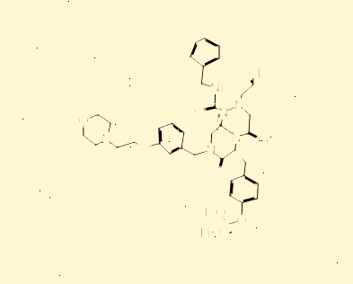 C=CCN1CC(=O)N2[C@@H](Cc3ccc(OP(=O)(O)O)cc3)C(=O)N(Cc3cccc(OCCN4CCOCC4)c3)C[C@@H]2N1C(=O)NCc1ccccc1